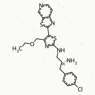 CCOCc1nc(NC[C@H](N)Cc2ccc(Cl)cc2)sc1-c1nc2ccncc2s1